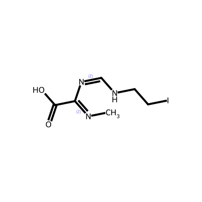 C/N=C(\N=C/NCCI)C(=O)O